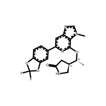 C[C@@H](Oc1nc(-c2ccc3c(c2)OC(F)(F)O3)cc2ncn(C)c12)[C@H]1CNC(=O)C1